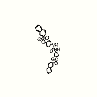 O=C(Nc1ccc(OS(=O)(=O)c2ccc3ccccc3c2)cc1)Nc1ccc(OS(=O)(=O)c2ccc3ccccc3c2)cc1